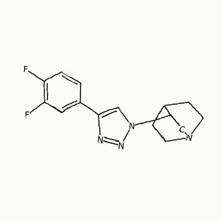 Fc1ccc(-c2cn(C3CN4CCC3CC4)nn2)cc1F